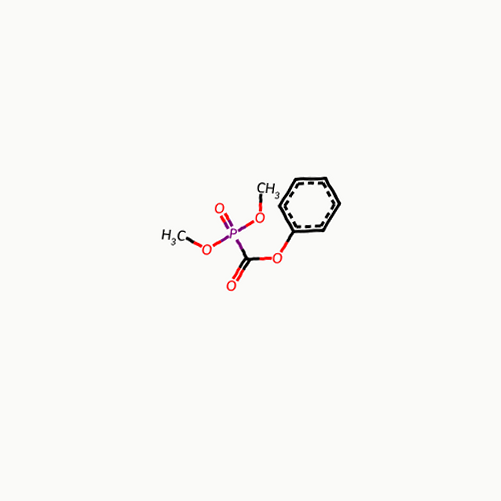 COP(=O)(OC)C(=O)Oc1ccccc1